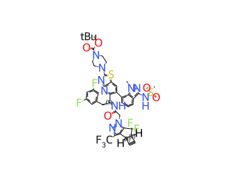 Cn1nc(NS(C)(=O)=O)c2cccc(-c3cc4sc(N5CCN(C(=O)OC(C)(C)C)CC5)nc4nc3[C@H](Cc3cc(F)cc(F)c3)NC(=O)Cn3nc(C(F)(F)F)c4c3C(F)(F)[C@@H]3C#C[C@H]43)c21